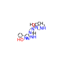 CC1(C)CNCCN1C(=O)N1CCN2c3cc(-c4ccccc4O)nnc3NC[C@H]2C1